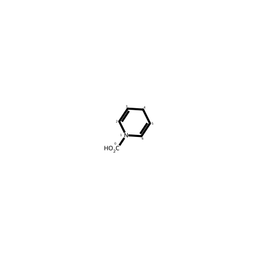 O=C(O)N1C=CCC=C1